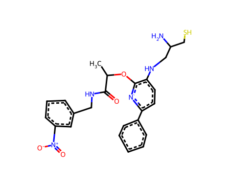 CC(Oc1nc(-c2ccccc2)ccc1NCC(N)CS)C(=O)NCc1cccc([N+](=O)[O-])c1